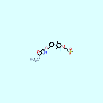 Cc1cc(OCCCS(C)(=O)=O)c(F)c(C)c1-c1cccc(COc2cc3c(cn2)[C@H](CC(=O)O)CO3)c1